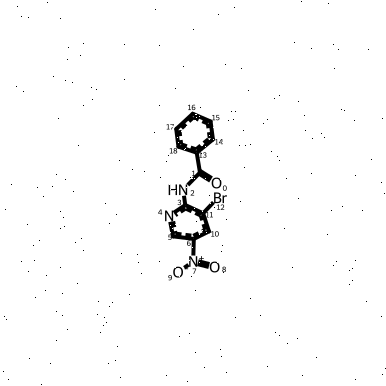 O=C(Nc1ncc([N+](=O)[O-])cc1Br)c1ccccc1